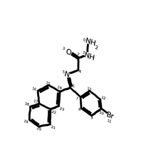 NNC(=O)CN=C(c1ccc(Br)cc1)c1ccc2ccccc2c1